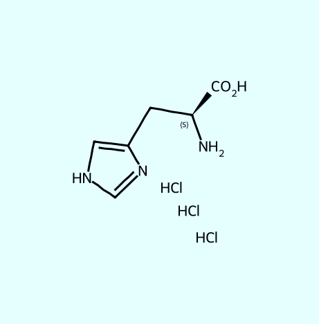 Cl.Cl.Cl.N[C@@H](Cc1c[nH]cn1)C(=O)O